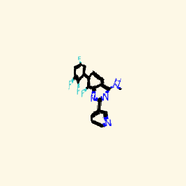 CNc1nc(-c2cccnc2)nc2c(F)c(-c3cc(F)cc(F)c3F)ccc12